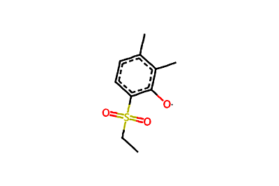 CCS(=O)(=O)c1ccc(C)c(C)c1[O]